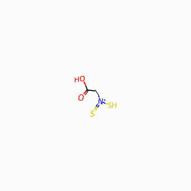 O=C(O)C[N+](=S)S